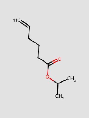 [CH]=CCCCC(=O)OC(C)C